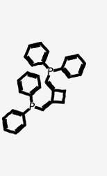 C(=C1CC/C1=C\P(c1ccccc1)c1ccccc1)P(c1ccccc1)c1ccccc1